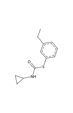 CCc1cccc(SC(=O)NC2CC2)c1